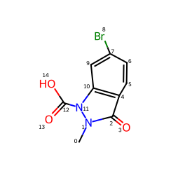 Cn1c(=O)c2ccc(Br)cc2n1C(=O)O